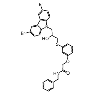 O=C(COc1cccc(SCC(O)Cn2c3ccc(Br)cc3c3cc(Br)ccc32)c1)NCc1ccccc1